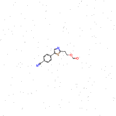 N#Cc1ccc(-c2cnc(CCOC=O)s2)cc1